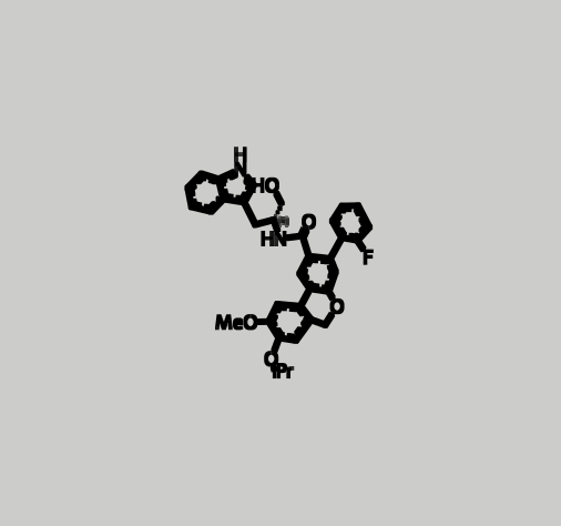 COc1cc2c(cc1OC(C)C)COc1cc(-c3ccccc3F)c(C(=O)N[C@@H](CO)Cc3c[nH]c4ccccc34)cc1-2